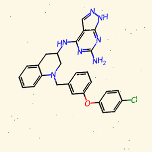 Nc1nc(NC2Cc3ccccc3N(Cc3cccc(Oc4ccc(Cl)cc4)c3)C2)c2cn[nH]c2n1